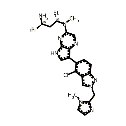 CCC[C@@H](N)C[C@H](CC)N(C)c1cnc2c(-c3ccc4nn(Cc5nccn5C)cc4c3Cl)c[nH]c2n1